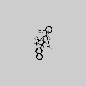 CCC1CCCCN1C(=O)CN1C(=O)NC(C)(c2ccc3ccccc3c2)C1=O